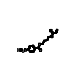 C=CC(=O)OCCCCOC(=O)c1ccc(C(=O)O)cc1